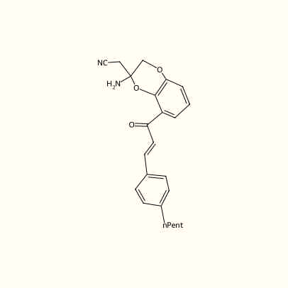 CCCCCc1ccc(C=CC(=O)c2cccc3c2OC(N)(CC#N)CO3)cc1